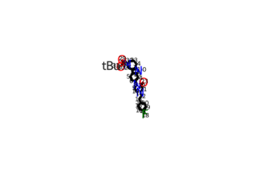 Cn1c2c(c3ccc(N4CCN(CCc5ccc(F)cc5)CC4=O)cc31)CN(C(=O)OC(C)(C)C)CCC2